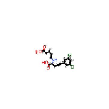 CC(CCNC(CC#Cc1cc(Cl)cc(Cl)c1)C(=O)O)CC(=O)O